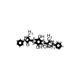 CC1=NN(c2ccccc2)C(=O)C1=C1Sc2c(O)c3c(c(O)c2S1)SC(=C(C)/C(C)=N\N(C=O)c1ccccc1)S3